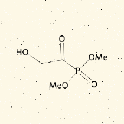 COP(=O)(OC)C(=O)CO